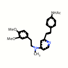 COc1ccc(CCN(C)c2ccnc(C=Cc3ccc(NC(C)=O)cc3)c2)cc1OC